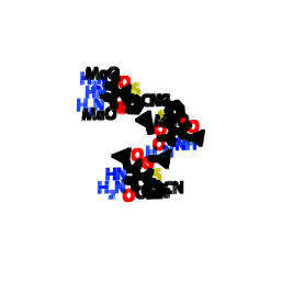 COC(=O)C1=C(C2CC2)NC(N)=C(C(=O)OCC2CC2)C1c1csc2c(C#N)cccc12.COC(=O)C1=C(N)NC(C2CC2)=C(C(=O)OCC2CC2)C1c1csc2c(C#N)cccc12.COC(=O)C1=C(N)NC(N)=C(C(=O)OC)C1c1csc2c(C#N)cccc12